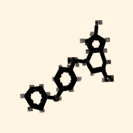 N#CC1=CN(Nc2ccc(Oc3ccccc3)cc2)c2sc(I)cc2C1